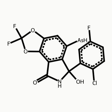 O=C1NC(O)(c2cc(F)ccc2Cl)c2c([AsH2])cc3c(c21)OC(F)(F)O3